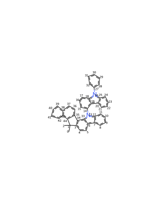 CC1(C)c2ccc3c4ccccc4n(-c4cccc5c4c4ccccc4n5-c4ccccc4)c3c2-c2ccc3ccccc3c21